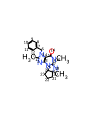 Cc1nc2c(n1Cc1ccccc1)C(=O)N(C)C1=N[C@@]3(C)CCCC3N12